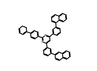 C1=CCCC(c2ccc(-c3nc(-c4cccc(-c5ccc6ccccc6c5)c4)cc(-c4cccc(-c5cccc6ccccc56)c4)n3)cc2)=C1